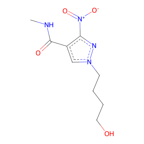 CNC(=O)c1cn(CCCCO)nc1[N+](=O)[O-]